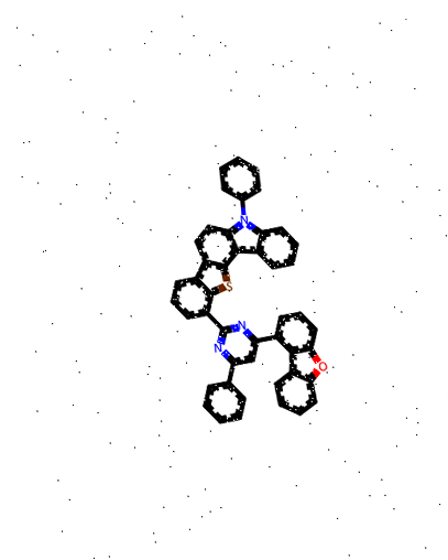 c1ccc(-c2cc(-c3cccc4oc5ccccc5c34)nc(-c3cccc4c3sc3c4ccc4c3c3ccccc3n4-c3ccccc3)n2)cc1